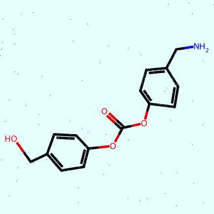 NCc1ccc(OC(=O)Oc2ccc(CO)cc2)cc1